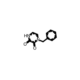 O=c1[nH]ccn(Cc2ccccc2)c1=O